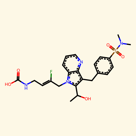 CC(O)c1c(Cc2ccc(S(=O)(=O)N(C)C)cc2)c2ncccc2n1C/C(F)=C/CNC(=O)O